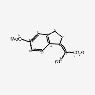 CCOC(=O)C(C#N)=C1CCc2cc(OC)ccc21